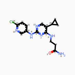 NC(=O)CCNc1nc(Nc2ccc(Cl)nc2)ncc1C1CC1